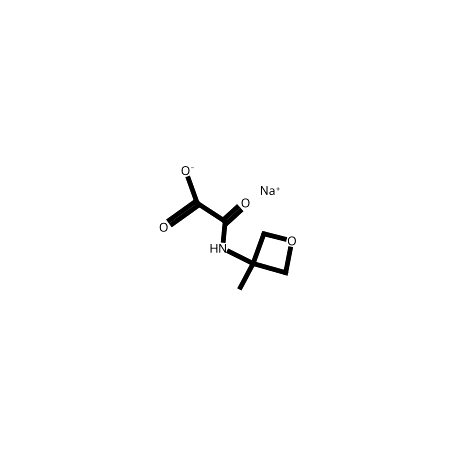 CC1(NC(=O)C(=O)[O-])COC1.[Na+]